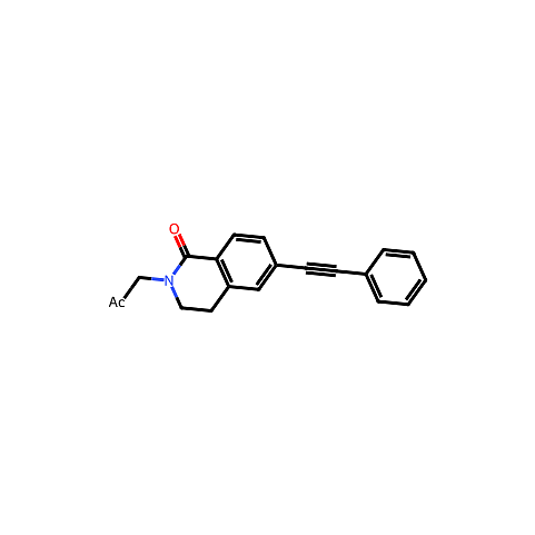 CC(=O)CN1CCc2cc(C#Cc3ccccc3)ccc2C1=O